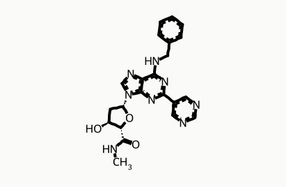 CNC(=O)[C@H]1O[C@@H](n2cnc3c(NCc4ccccc4)nc(-c4cncnc4)nc32)C[C@@H]1O